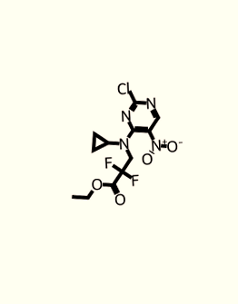 CCOC(=O)C(F)(F)CN(c1nc(Cl)ncc1[N+](=O)[O-])C1CC1